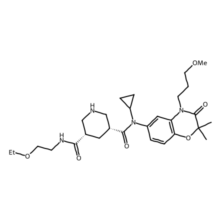 CCOCCNC(=O)[C@@H]1CNC[C@H](C(=O)N(c2ccc3c(c2)N(CCCOC)C(=O)C(C)(C)O3)C2CC2)C1